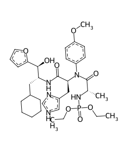 CCOP(=O)(N[C@@H](C)C(=O)N(c1ccc(OC)cc1)[C@@H](Cc1c[nH]cn1)C(=O)N[C@H](CC1CCCCC1)[C@H](O)c1ccco1)OCC